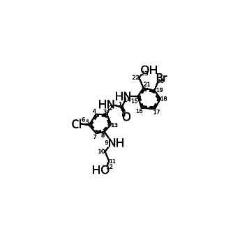 O=C(Nc1cc(Cl)cc(NCCO)c1)Nc1cccc(Br)c1CO